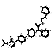 CC(C)n1ncn(-c2ccc(N3CCN(C(C(=O)NCCc4ccccn4)c4ccccc4)CC3)cc2)c1=O